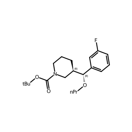 CCCO[C@@H](c1cccc(F)c1)[C@@H]1CCCN(C(=O)OC(C)(C)C)C1